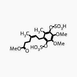 COC(=O)CCC(C)=CCc1c(C)c(OS(=O)(=O)O)c(OC)c(OC)c1OS(=O)(=O)O